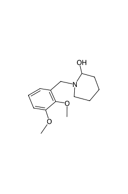 COc1cccc(CN2CCCCC2O)c1OC